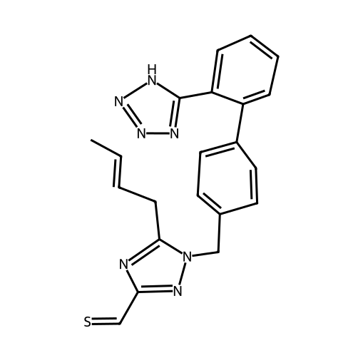 CC=CCc1nc(C=S)nn1Cc1ccc(-c2ccccc2-c2nnn[nH]2)cc1